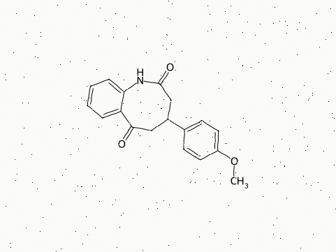 COc1ccc(C2CC(=O)Nc3ccccc3C(=O)C2)cc1